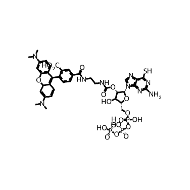 CN(C)C1=CC2Oc3cc(N(C)C)ccc3C(c3ccc(C(=O)NCCNC(=O)O[C@H]4C(O)[C@@H](COP(=O)(O)OP(=O)(O)OP(=O)(O)O)O[C@H]4n4cnc5c(S)nc(N)nc54)cc3C(=O)O)=C2C=C1